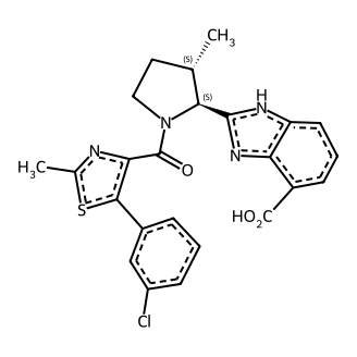 Cc1nc(C(=O)N2CC[C@H](C)[C@H]2c2nc3c(C(=O)O)cccc3[nH]2)c(-c2cccc(Cl)c2)s1